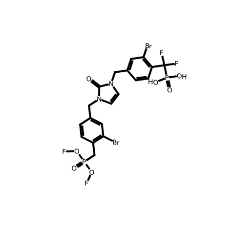 O=c1n(Cc2ccc(CP(=O)(OF)OF)c(Br)c2)ccn1Cc1ccc(C(F)(F)P(=O)(O)O)c(Br)c1